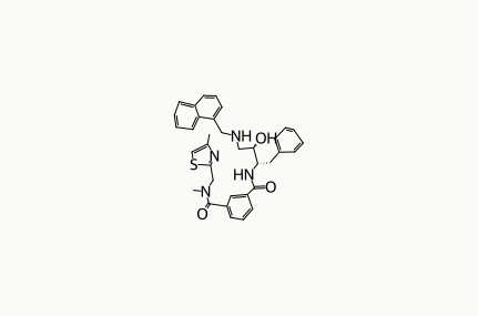 Cc1csc(CN(C)C(=O)c2cccc(C(=O)N[C@@H](Cc3ccccc3)[C@H](O)CNCc3cccc4ccccc34)c2)n1